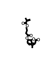 C=C(C)C(=O)OCCCC(=O)OC1C2CC3C1OC(=O)C3C2C